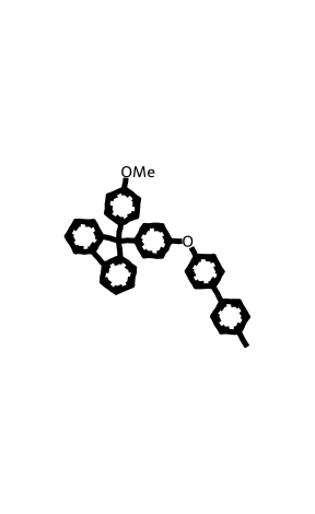 COc1ccc(C2(c3ccc(Oc4ccc(-c5ccc(C)cc5)cc4)cc3)c3ccccc3-c3ccccc32)cc1